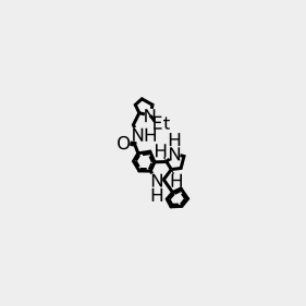 CCN1CCCC1CNC(=O)c1ccc2c(c1)[C@H]1NCC[C@H]1C(c1ccccc1)N2